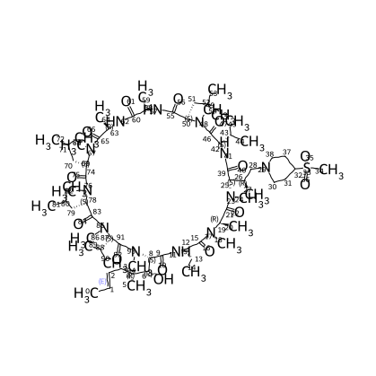 C/C=C/C[C@@H](C)[C@@H](O)[C@H]1C(=O)N[C@@H](CC)C(=O)N(C)[C@H](C)C(=O)N(C)[C@@H]([C@H](C)CN2CCC(S(C)(=O)=O)CC2)C(=O)N[C@@H](C(C)C)C(=O)N(C)[C@@H](CC(C)C)C(=O)N[C@@H](C)C(=O)N[C@H](C)C(=O)N(C)[C@@H](CC(C)C)C(=O)N(C)[C@@H](CC(C)C)C(=O)N(C)[C@@H](C(C)C)C(=O)N1C